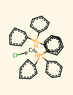 [Cl][Ir][Co]([PH](c1ccccc1)(c1ccccc1)c1ccccc1)[PH](c1ccccc1)(c1ccccc1)c1ccccc1